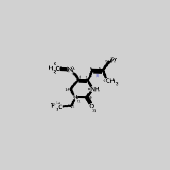 C=NC1=C(/C=C(\C)C(C)C)NC(=O)N(CC(F)(F)F)C1